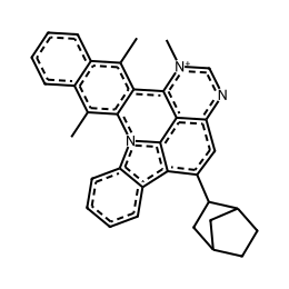 Cc1c2ccccc2c(C)c2c1c1c3c(cc(C4CC5CCC4C5)c4c5ccccc5n2c43)nc[n+]1C